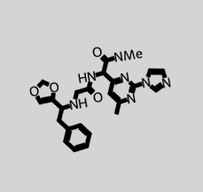 CNC(=O)C(NC(=O)CNC(Cc1ccccc1)C1=COCO1)c1cc(C)nc(-n2ccnc2)n1